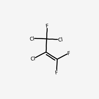 FC(F)=C(Cl)C(F)(Cl)Cl